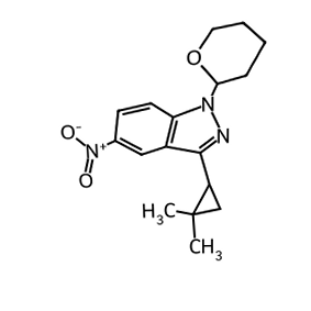 CC1(C)CC1c1nn(C2CCCCO2)c2ccc([N+](=O)[O-])cc12